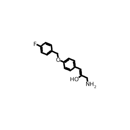 NCC(O)=Cc1ccc(OCc2ccc(F)cc2)cc1